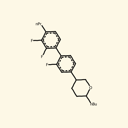 CCCCC1CCC(c2ccc(-c3ccc(CCC)c(F)c3F)c(F)c2)CO1